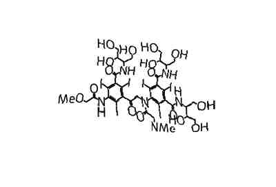 CNCC(=O)N(CC(=O)c1c(I)c(NC(=O)COC)c(I)c(C(=O)NC(CO)C(O)CO)c1I)c1c(I)c(C(=O)NC(CO)C(O)CO)c(I)c(C(=O)NC(CO)C(O)CO)c1I